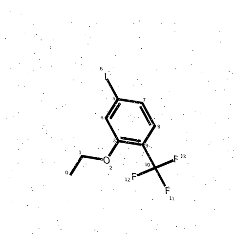 CCOc1cc(I)ccc1C(F)(F)F